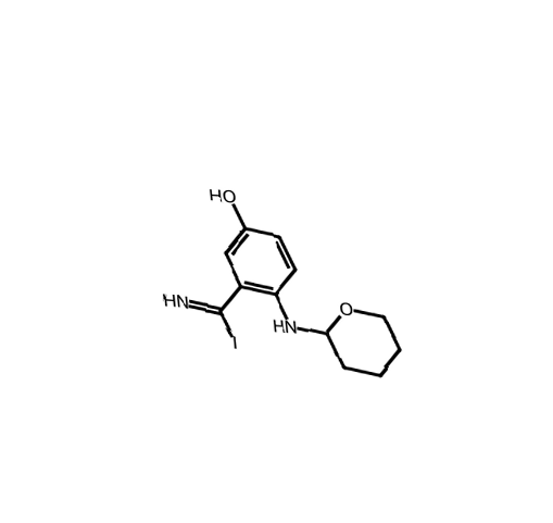 N=C(I)c1cc(O)ccc1NC1CCCCO1